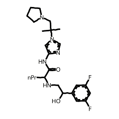 CCCC(NCC(O)c1cc(F)cc(F)c1)C(=O)Nc1cn(C(C)(C)CN2CCCC2)cn1